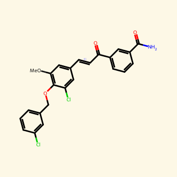 COc1cc(/C=C/C(=O)c2cccc(C(N)=O)c2)cc(Cl)c1OCc1cccc(Cl)c1